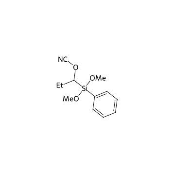 CCC(OC#N)[Si](OC)(OC)c1ccccc1